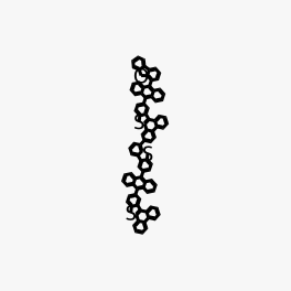 c1ccc2c(c1)oc1c(-c3c4ccccc4c(-c4ccc5sc6c7cc(-c8cccc9c8sc8ccc(-c%10c%11ccccc%11c(-c%11ccc%12sc%13c%14ccccc%14c%14ccccc%14c%13c%12c%11)c%11ccccc%10%11)cc89)ccc7c7ccccc7c6c5c4)c4ccccc34)cccc12